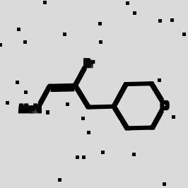 CN/C=C(/Br)CC1CCOCC1